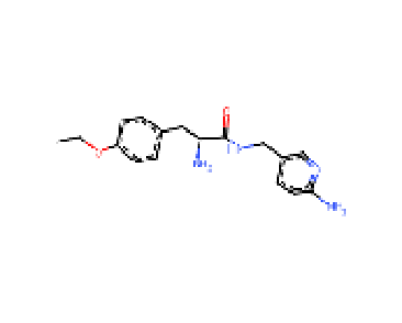 CCOc1ccc(C[C@H](N)C(=O)NCc2ccc(N)nc2)cc1